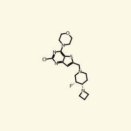 F[C@@H]1CN(Cc2cc3nc(Cl)nc(N4CCOCC4)c3s2)CC[C@@H]1N1CCC1